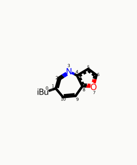 CCC(C)C1=C=Nc2ccoc2C=C1